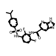 CC(C)c1ccc(S(=O)(=O)Nc2ccc(F)c(NC(=O)c3cnc4[nH]cnc4c3)c2F)cc1